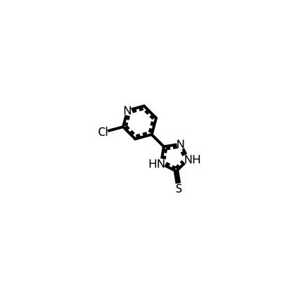 S=c1[nH]nc(-c2ccnc(Cl)c2)[nH]1